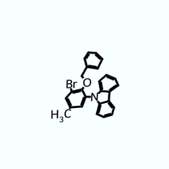 Cc1cc(Br)c(OCc2ccccc2)c(-n2c3ccccc3c3ccccc32)c1